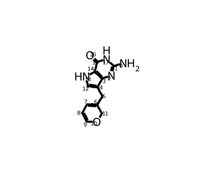 Nc1nc2c(CC3=CC=COC3)c[nH]c2c(=O)[nH]1